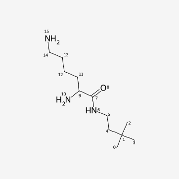 CC(C)(C)CCNC(=O)C(N)CCCCN